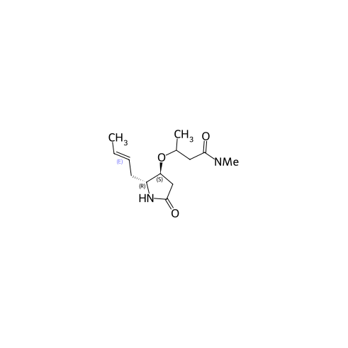 C/C=C/C[C@H]1NC(=O)C[C@@H]1OC(C)CC(=O)NC